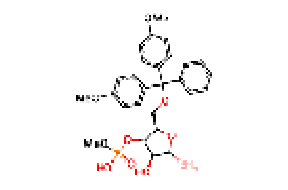 B[C@@H]1O[C@H](COC(c2ccccc2)(c2ccc(OC)cc2)c2ccc(OC)cc2)C(OP(=O)(O)OC)[C@@H]1O